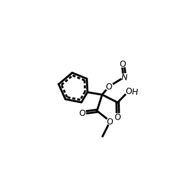 COC(=O)C(ON=O)(C(=O)O)c1ccccc1